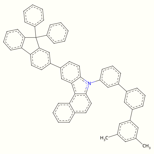 Cc1cc(C)cc(-c2cccc(-c3cccc(-n4c5ccc(-c6ccc7c(c6)C(c6ccccc6)(c6ccccc6)c6ccccc6-7)cc5c5c6ccccc6ccc54)c3)c2)c1